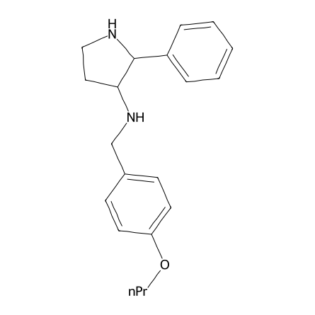 CCCOc1ccc(CNC2CCNC2c2ccccc2)cc1